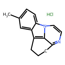 Cc1ccc2c(c1)c1c3c(nccn32)CCC1.Cl